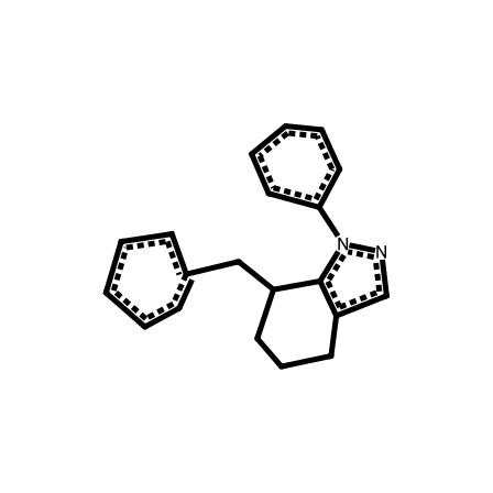 c1ccc(CC2CCCc3cnn(-c4ccccc4)c32)cc1